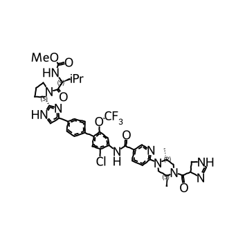 COC(=O)N[C@H](C(=O)N1CCC[C@H]1c1nc(-c2ccc(-c3cc(Cl)c(NC(=O)c4ccc(N5C[C@H](C)N(C(=O)C6CNC=N6)C[C@H]5C)nc4)cc3OC(F)(F)F)cc2)c[nH]1)C(C)C